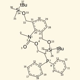 CN(C(=O)OCCP(c1ccccc1)c1ccccc1)c1c(CO[Si](C)(C)C(C)(C)C)cccc1CO[Si](C)(C)C(C)(C)C